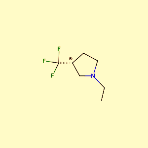 CCN1CC[C@@H](C(F)(F)F)C1